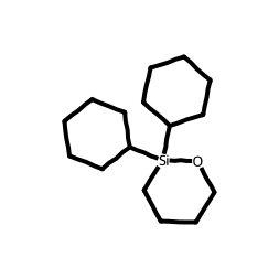 C1CCC([Si]2(C3CCCCC3)CCCCO2)CC1